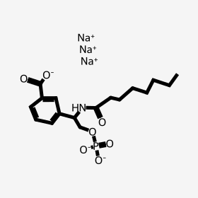 CCCCCCCC(=O)NC(COP(=O)([O-])[O-])c1cccc(C(=O)[O-])c1.[Na+].[Na+].[Na+]